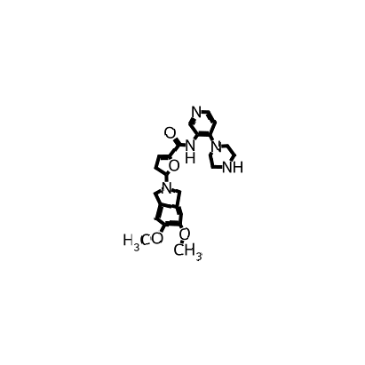 COc1cc2c(cc1OC)CN(C1CC=C(C(=O)Nc3cnccc3N3CCNCC3)O1)C2